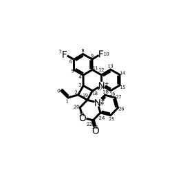 C=CC1C2c3cc(F)cc(F)c3-c3cccc[n+]3C2C12COC(=O)c1cccc[n+]12